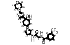 O=C(CNC(=O)c1cccc(C(F)(F)F)c1)N[C@@H]1CCN(C2CCC(O)(c3cnc(N4CCOCC4)s3)CC2)C1